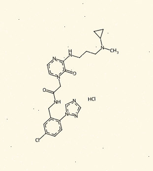 CN(CCCNc1nccn(CC(=O)NCc2cc(Cl)ccc2-n2cncn2)c1=O)C1CC1.Cl